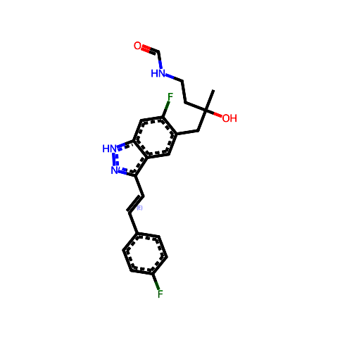 CC(O)(CCNC=O)Cc1cc2c(/C=C/c3ccc(F)cc3)n[nH]c2cc1F